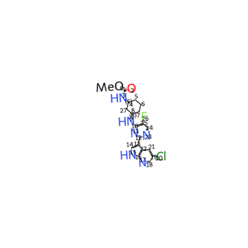 COC(=O)N[C@H]1CCC[C@@H](Nc2nc(-c3c[nH]c4ncc(Cl)cc34)ncc2F)C1